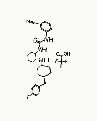 N#Cc1cccc(NC(=O)N[C@@H]2CCCC[C@H]2N[C@H]2CC[C@H](Cc3ccc(F)cc3)CC2)c1.O=C(O)C(F)(F)F